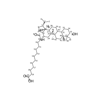 CC(C)[C@@H]1CC[C@]2(C(=O)NCCCCCCCCCCC(=O)O)CC[C@]3(C)[C@H](CCC4[C@@]5(C)CC[C@H](O)C(C)(C)[C@@H]5CC[C@]43C)[C@@H]12